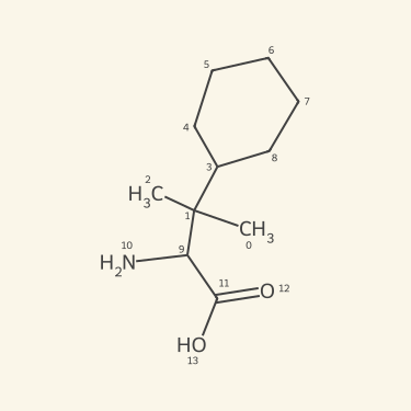 CC(C)(C1CCCCC1)C(N)C(=O)O